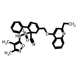 CCc1cc(OCC2=CC=C(c3ccccc3)C(C#N)(S(=O)(=O)Nc3onc(C)c3C)C2)c2ccccc2n1